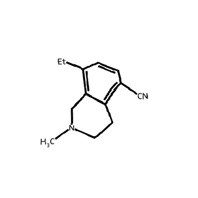 CCc1ccc(C#N)c2c1CN(C)CC2